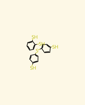 Sc1ccc(Sc2ccc(S)cc2)cc1.Sc1ccccc1S